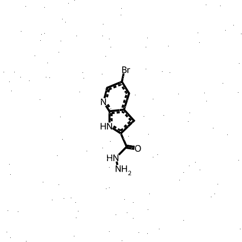 NNC(=O)c1cc2cc(Br)cnc2[nH]1